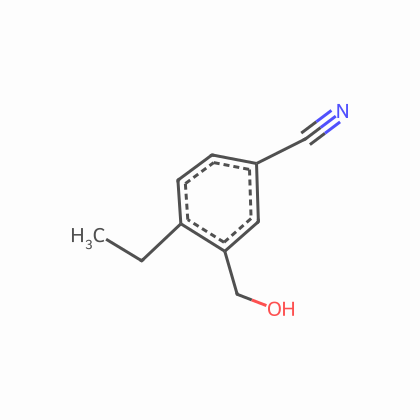 CCc1ccc(C#N)cc1CO